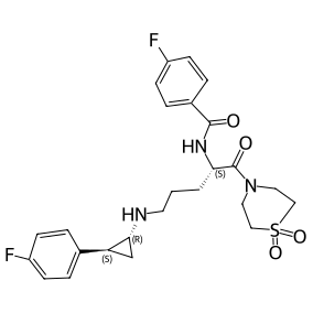 O=C(N[C@@H](CCCN[C@@H]1C[C@H]1c1ccc(F)cc1)C(=O)N1CCS(=O)(=O)CC1)c1ccc(F)cc1